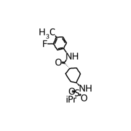 Cc1ccc(NC(=O)[C@H]2CC[C@H](NS(=O)(=O)C(C)C)CC2)cc1F